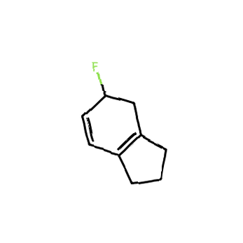 FC1C=CC2=C(CCC2)C1